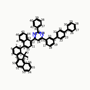 CC1(C)c2c(cccc2-c2ccc(-c3cc(-c4cccc(-c5ccc(-c6ccccc6)cc5)c4)nc(-c4ccccc4)n3)c3ccccc23)-c2ccc3ccccc3c21